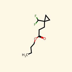 CCCCOC(=O)CCC1(C(F)F)CC1